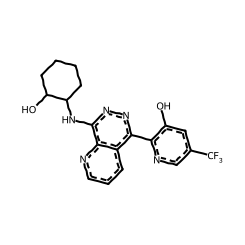 Oc1cc(C(F)(F)F)cnc1-c1nnc(NC2CCCCC2O)c2ncccc12